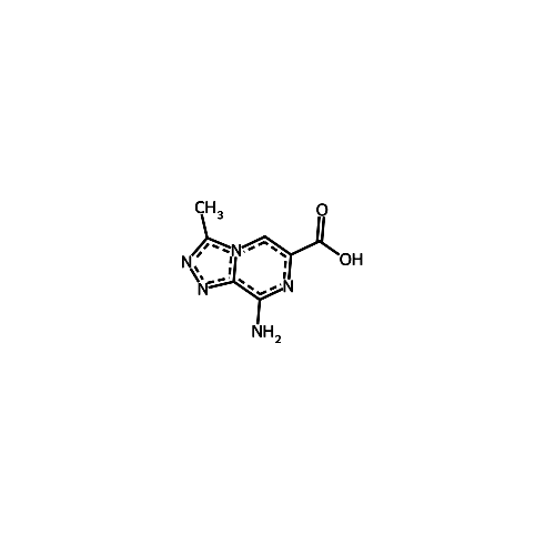 Cc1nnc2c(N)nc(C(=O)O)cn12